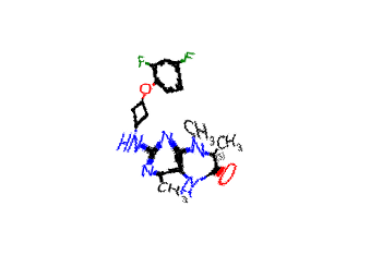 Cc1nc(N[C@H]2C[C@H](Oc3ccc(F)cc3F)C2)nc2c1NC(=O)[C@H](C)N2C